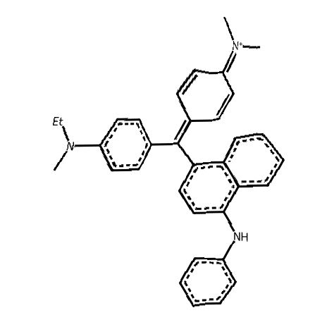 CCN(C)c1ccc(C(=C2C=CC(=[N+](C)C)C=C2)c2ccc(Nc3ccccc3)c3ccccc23)cc1